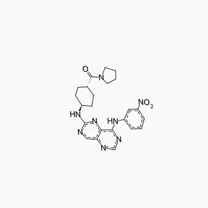 O=C([C@H]1CC[C@H](Nc2ncc3ncnc(Nc4cccc([N+](=O)[O-])c4)c3n2)CC1)N1CCCC1